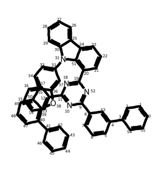 c1ccc(-c2cccc(-c3nc(-c4ccccc4)nc(-c4cccc5c6ccccc6n(-c6ccc7c(c6)oc6c(-c8ccccc8)cccc67)c45)n3)c2)cc1